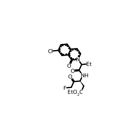 CCOC(=O)C[C@H](NC(=O)C(CC)n1ccc2ccc(Cl)cc2c1=O)C(=O)CF